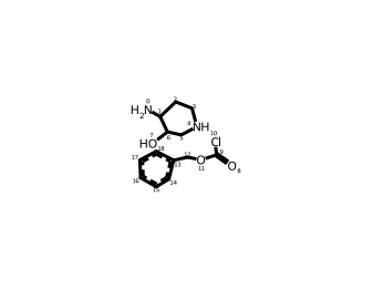 NC1CCNCC1O.O=C(Cl)OCc1ccccc1